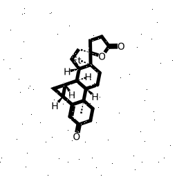 CC[C@]12CC[C@H]3[C@@H]([C@H]4C[C@H]4C4=CC(=O)CC[C@@]43C)[C@@H]1CC[C@@]21CCC(=O)O1